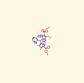 CCOC(=O)c1[nH]c(C(c2ccccn2)c2[nH]c(C(=O)OCC)c(CF)c2C)c(C)c1C